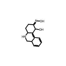 ON=C1CCC2NCC3C=CC=CC3=C2C1O